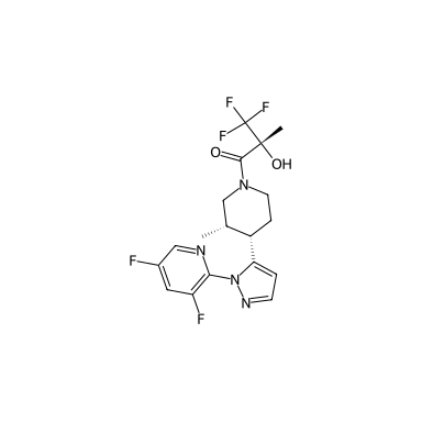 C[C@@H]1CN(C(=O)[C@@](C)(O)C(F)(F)F)CC[C@@H]1c1ccnn1-c1ncc(F)cc1F